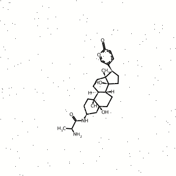 CC(N)C(=O)N[C@H]1CC[C@]2(C)[C@H]3CC[C@]4(C)[C@@H](c5ccc(=O)oc5)CC[C@]4(O)[C@@H]3CC[C@]2(O)C1